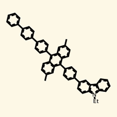 CCn1c2ccccc2c2cc(-c3ccc(-c4c5ccc(C)cc5c(-c5ccc(-c6ccc(-c7ccccc7)cc6)cc5)c5ccc(C)cc45)cc3)ccc21